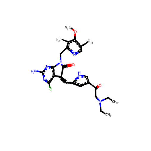 CCN(CC)CC(=O)c1c[nH]c(C=C2C(=O)N(Cc3ncc(C)c(OC)c3C)c3nc(N)nc(Cl)c32)c1